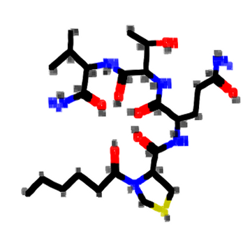 CCCCCC(=O)N1CSCC1C(=O)NC(CCC(N)=O)C(=O)NC(C(=O)NC(C(N)=O)C(C)C)C(C)O